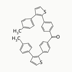 Cc1ccc(-c2ccsc2-c2ccc(C(=O)c3ccc(-c4sccc4-c4ccc(C)cc4)cc3)cc2)cc1